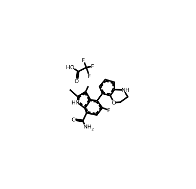 Cc1[nH]c2c(C(N)=O)cc(F)c(-c3cccc4c3OCCN4)c2c1C.O=C(O)C(F)(F)F